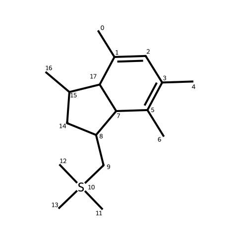 CC1=CC(C)=C(C)C2C(CS(C)(C)C)CC(C)C12